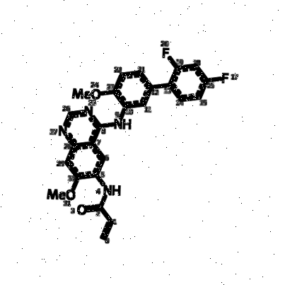 C=CC(=O)Nc1cc2c(Nc3cc(-c4ccc(F)cc4F)ccc3OC)ncnc2cc1OC